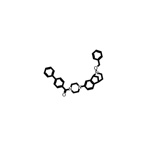 O=C(c1ccc(-c2ccccc2)cc1)N1CCN(c2ccc3c(c2)C2CC3CCN2OCc2ccccc2)CC1